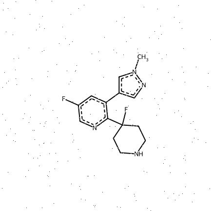 Cn1cc(-c2cc(F)cnc2C2(F)CCNCC2)cn1